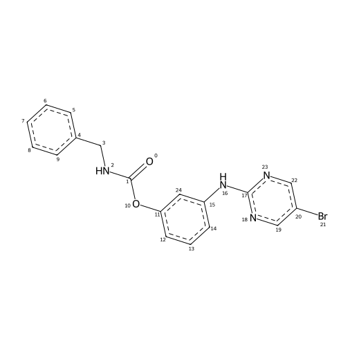 O=C(NCc1ccccc1)Oc1cccc(Nc2ncc(Br)cn2)c1